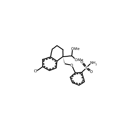 COC(OC)[C@]1(COc2ccccc2S(N)(=O)=O)CCCc2cc(Cl)ccc21